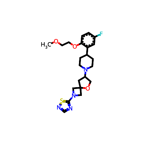 COCCOc1ccc(F)cc1C1CCN(C2COC3(C2)CN(c2ncns2)C3)CC1